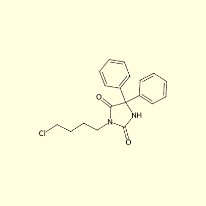 O=C1NC(c2ccccc2)(c2ccccc2)C(=O)N1CCCCCl